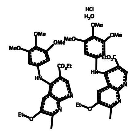 CCOC(=O)c1cnc2nc(C)c(OCC)cc2c1Nc1cc(OC)c(OC)c(OC)c1.CCOC(=O)c1cnc2nc(C)c(OCC)cc2c1Nc1cc(OC)c(OC)c(OC)c1.Cl.O